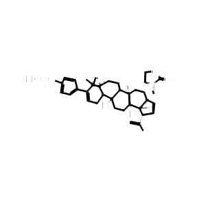 C=C(C)[C@@H]1CC[C@]2(CN3CCOC3=O)CC[C@]3(C)[C@H](CC[C@@H]4[C@@]5(C)CC=C(c6ccc(C(=O)O)cc6)C(C)(C)[C@@H]5CC[C@]43C)[C@@H]12